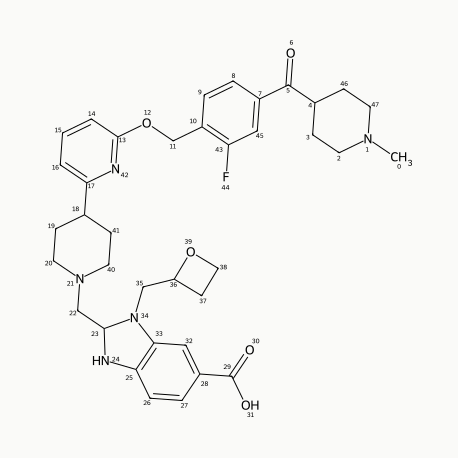 CN1CCC(C(=O)c2ccc(COc3cccc(C4CCN(CC5Nc6ccc(C(=O)O)cc6N5CC5CCO5)CC4)n3)c(F)c2)CC1